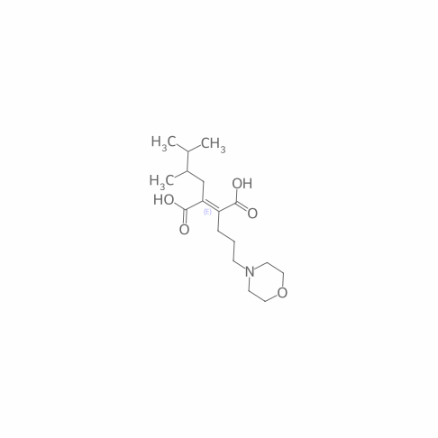 CC(C)C(C)C/C(C(=O)O)=C(/CCCN1CCOCC1)C(=O)O